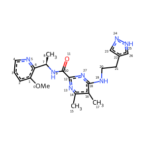 COc1cccnc1[C@@H](C)NC(=O)c1nc(C)c(C)c(NCCc2cn[nH]c2)n1